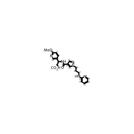 COc1ccc(C(CC(=O)O)NC(=O)c2cnn(CCCNc3ccccn3)c2)cn1